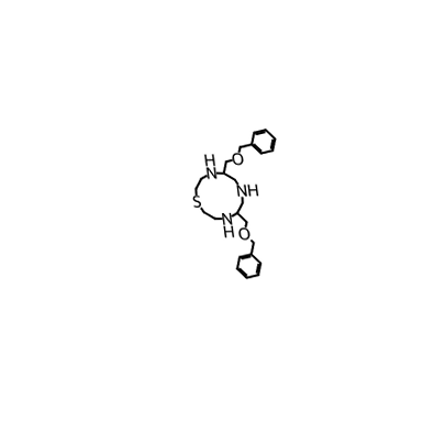 c1ccc(COCC2CNCC(COCc3ccccc3)NCCSCCN2)cc1